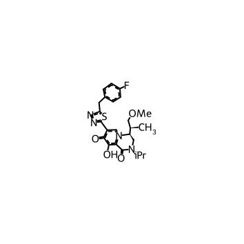 COC[C@@H](C)[C@H]1CN(C(C)C)C(=O)c2c(O)c(=O)c(-c3nnc(Cc4ccc(F)cc4)s3)cn21